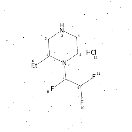 CCC1CNCCN1C(F)C(F)F.Cl